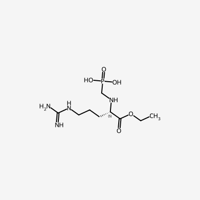 CCOC(=O)[C@H](CCCNC(=N)N)NCP(=O)(O)O